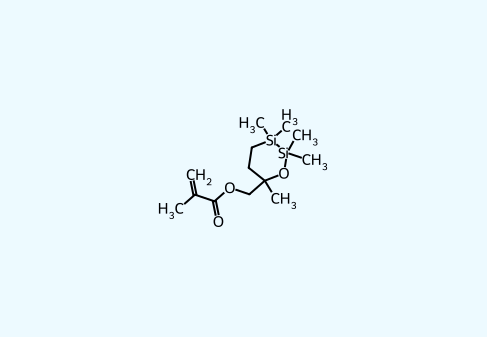 C=C(C)C(=O)OCC1(C)CC[Si](C)(C)[Si](C)(C)O1